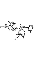 CNC(=O)c1c(NC(=O)c2nc(Cl)ccc2Nc2cncnc2)cnn1C